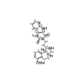 COc1cccc2c1CC[C@H]1CNC(CCn3c(=O)c4[nH]c5ncccc5c4n(C)c3=O)[C@@H]21